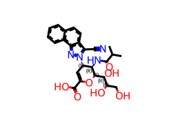 CC(C)C(=O)N[C@H]1[C@H]([C@H](O)[C@H](O)CO)OC(C(=O)O)=C[C@@H]1n1nc2c(ccc3ccccc32)c1C#N